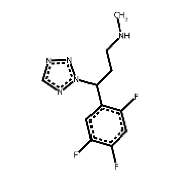 CNCCC(c1cc(F)c(F)cc1F)n1ncnn1